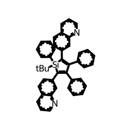 CC(C)(C)[Si]1(c2ccccc2)C(c2ccc3cccnc3c2)=C(c2ccccc2)C(c2ccccc2)=C1c1ccc2cccnc2c1